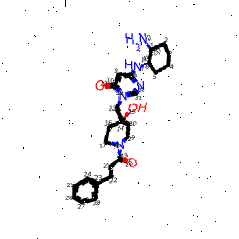 N[C@H]1CCCC[C@H]1Nc1cc(=O)n(CC2(O)CCN(C(=O)CCc3ccccc3)CC2)cn1